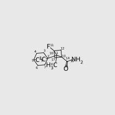 CC1(C23CCC(CC2)CC3)C2(F)CC1(C(N)=O)C2